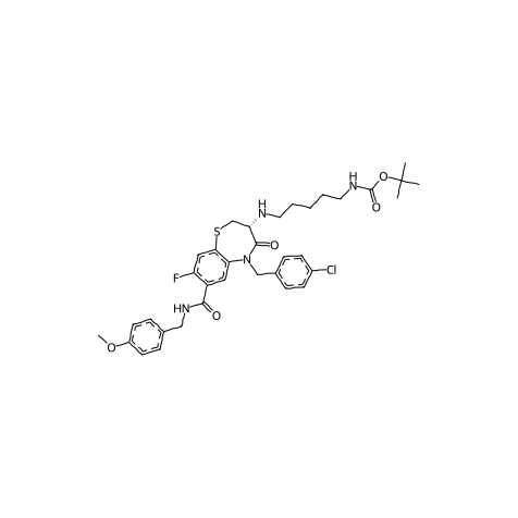 COc1ccc(CNC(=O)c2cc3c(cc2F)SC[C@H](NCCCCCNC(=O)OC(C)(C)C)C(=O)N3Cc2ccc(Cl)cc2)cc1